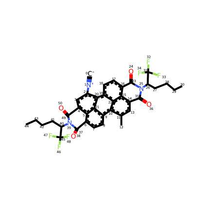 [C-]#[N+]c1cc2c3c(ccc4c5c(C)cc6c7c(ccc(c1c34)c75)C(=O)N(C(CCCC)C(F)(F)F)C6=O)C(=O)N(C(CCCC)C(F)(F)F)C2=O